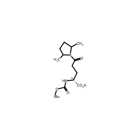 CC1CCC(C)N1C(=O)CC[C@@H](NC(=O)OC(C)(C)C)C(=O)O